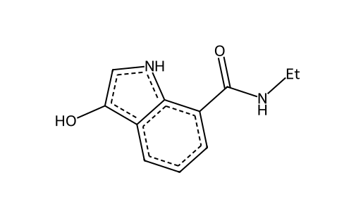 CCNC(=O)c1cccc2c(O)c[nH]c12